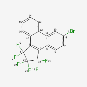 FC1(F)c2c(c3ccc(Br)cc3c3ccccc23)C(F)(F)C1(F)F